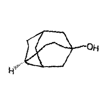 OC12CC3CC(C1)[C@@H](C3)C2